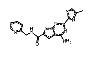 Cc1csc(-c2nc(N)c3cc(C(=O)NCc4ccccn4)sc3n2)n1